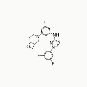 Cc1cc(Nc2ncn(-c3cc(F)cc(F)c3)n2)cc(N2CCC3OCC3C2)c1